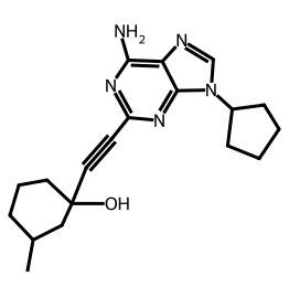 CC1CCCC(O)(C#Cc2nc(N)c3ncn(C4CCCC4)c3n2)C1